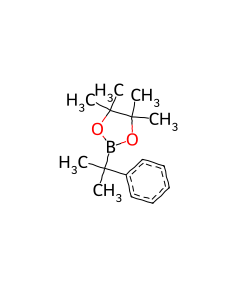 CC(C)(B1OC(C)(C)C(C)(C)O1)c1ccccc1